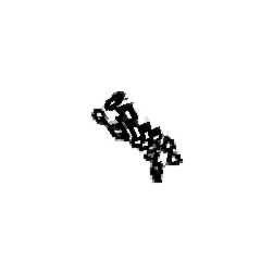 CC1CCC(C2CCCCC2)CC1N(C1CCCC(C2=CC=CCC2)C1C)C1CCC2CCC3C4C(CCC1C24)CCC3N(C1CCCC(c2ccccc2)C1C)[C@H]1CC(C2CCCCC2)CCC1C